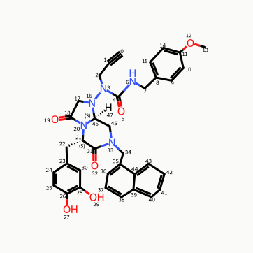 C#CCN(C(=O)NCc1ccc(OC)cc1)N1CC(=O)N2[C@@H](Cc3ccc(O)c(O)c3)C(=O)N(Cc3cccc4ccccc34)C[C@@H]21